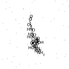 COc1ccc(C=CC(=O)SCCNC(=O)CCNC(=O)[C@H](O)C(C)(C)COP(=O)(O)OP(=O)(O)OC[C@H]2O[C@@H](n3cnc4c(N)ncnc43)[C@H](O)[C@@H]2OP(=O)(O)O)cc1